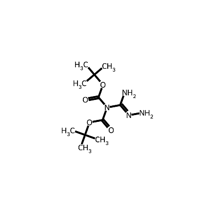 CC(C)(C)OC(=O)N(C(=O)OC(C)(C)C)C(N)=NN